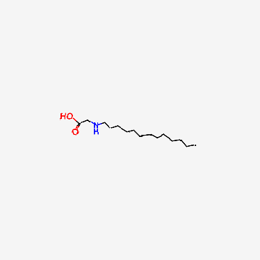 CCCCCCCCCCCCCNCC(=O)O